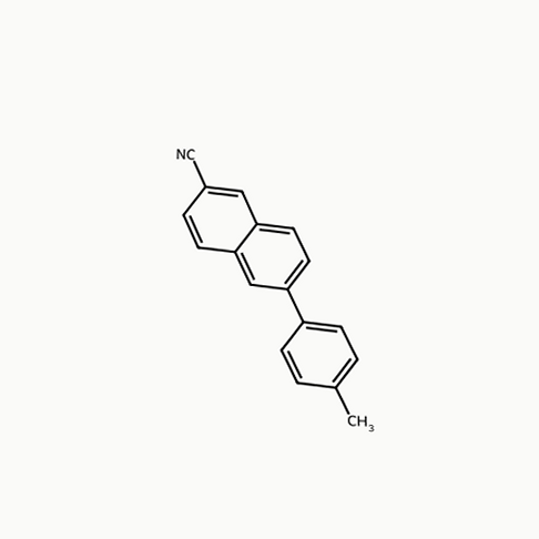 Cc1ccc(-c2ccc3cc(C#N)ccc3c2)cc1